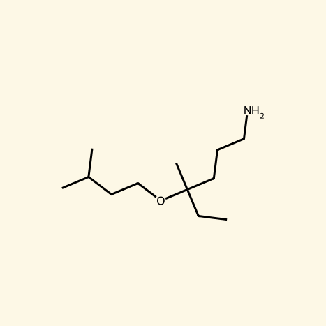 CCC(C)(CCCN)OCCC(C)C